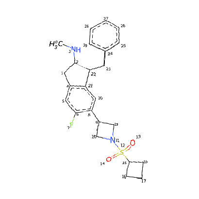 CNC1Cc2cc(F)c(C3CN(S(=O)(=O)C4CCC4)C3)cc2C1Cc1ccccc1